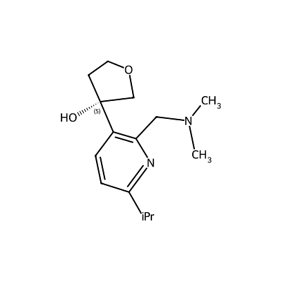 CC(C)c1ccc([C@@]2(O)CCOC2)c(CN(C)C)n1